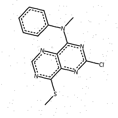 CSc1ncnc2c(N(C)c3ccccc3)nc(Cl)nc12